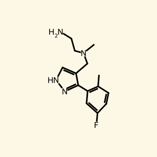 Cc1ccc(F)cc1-c1n[nH]cc1CN(C)CCN